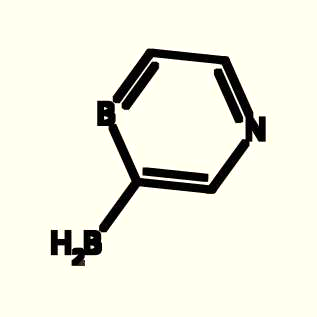 Bc1bccnc1